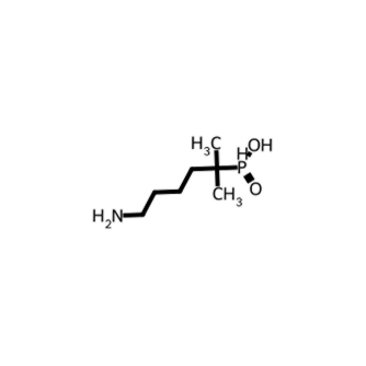 CC(C)(CCCCN)[PH](=O)O